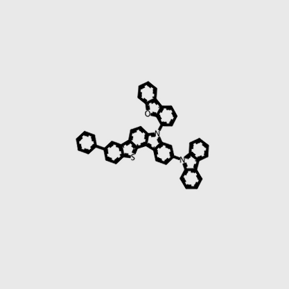 c1ccc(-c2ccc3sc4c(ccc5c4c4ccc(-n6c7ccccc7c7ccccc76)cc4n5-c4cccc5c4oc4ccccc45)c3c2)cc1